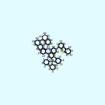 c1ccc(C2(c3ccccc3)c3ccccc3-c3ccc(-c4ccccc4N(c4cccc(-c5cccc6c5sc5ccccc56)c4)c4ccccc4-c4cccc5cccc(C6CCCCC6)c45)cc32)cc1